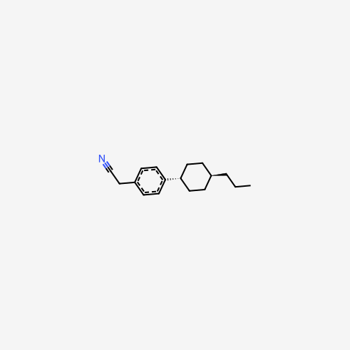 CCC[C@H]1CC[C@H](c2ccc(CC#N)cc2)CC1